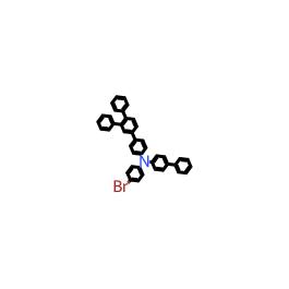 Brc1ccc(N(c2ccc(-c3ccccc3)cc2)c2ccc(-c3ccc(-c4ccccc4)c(-c4ccccc4)c3)cc2)cc1